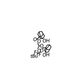 CC(C)(C)C(F)(F)OCC(COC(=O)C12CC3CC(CC(O)(C3)C1)C2)OC(=O)C12CC3CC(CC(O)(C3)C1)C2